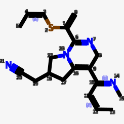 C=C(S/C=C\C)C1=NCC(C(/C=C\C)=N/C)=C2CC(CC#N)CN12